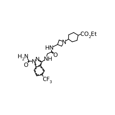 CCOC(=O)C1CCC(N2CC(NC(=O)CNc3nn(C(N)=O)c4ccc(C(F)(F)F)cc34)C2)CC1